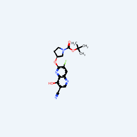 CC(C)(C)OC(=O)N1CC[C@H](Oc2nc3c(O)c(C#N)cnc3cc2F)C1